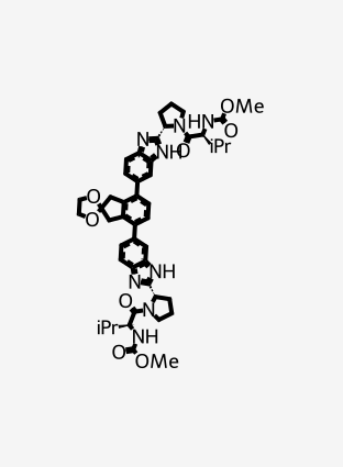 COC(=O)N[C@H](C(=O)N1CCC[C@H]1c1nc2ccc(-c3ccc(-c4ccc5nc([C@@H]6CCCN6C(=O)[C@@H](NC(=O)OC)C(C)C)[nH]c5c4)c4c3CC3(C4)OCCO3)cc2[nH]1)C(C)C